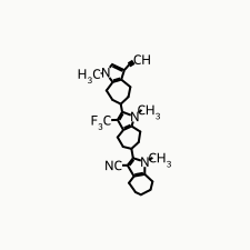 C#Cc1cn(C)c2c1CCC(c1c(C(F)(F)F)c3c(n1C)CCC(c1c(C#N)c4c(n1C)CCCCC4)CC3)CC2